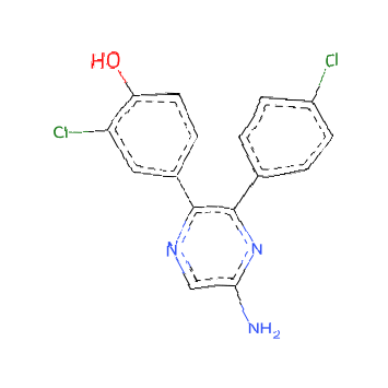 Nc1cnc(-c2ccc(O)c(Cl)c2)c(-c2ccc(Cl)cc2)n1